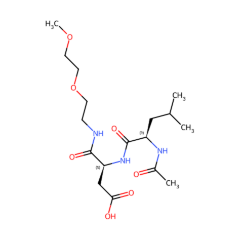 COCCOCCNC(=O)[C@H](CC(=O)O)NC(=O)[C@@H](CC(C)C)NC(C)=O